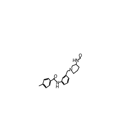 Cc1ccc(C(=O)Nc2cccc(CN3CCCC(NC=O)C3)c2)cc1